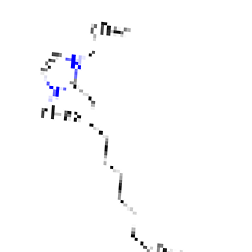 CCCCCCCCCCCCCCCCCCc1n(CCCCCCCCCCC)cc[n+]1CCCCCC